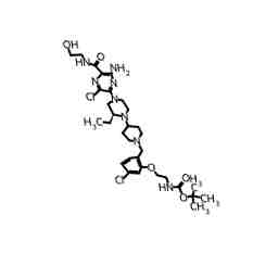 CC[C@H]1CN(c2nc(N)c(C(=O)NCCO)nc2Cl)CCN1C1CCN(Cc2ccc(Cl)cc2OCCNC(=O)OC(C)(C)C)CC1